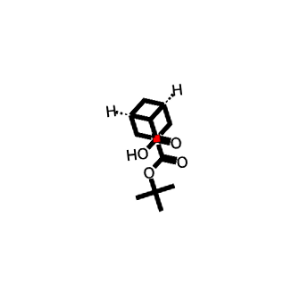 CC(C)(C)OC(=O)N1C[C@H]2C[C@@H](C1)C2C(=O)O